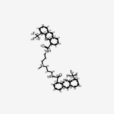 CN(CCCNC(=O)c1cccc2cc3cccc(C(F)(F)F)c3nc12)CCCNC(=O)c1cccc2cc3cccc(C(F)(F)F)c3nc12